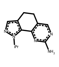 CC(C)n1ncc2c1-c1nc(N)ncc1CC2